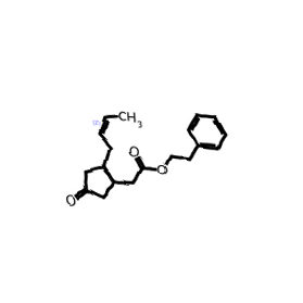 C/C=C\CC1CC(=O)CC1CC(=O)OCCc1ccccc1